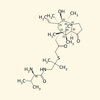 C=C[C@]1(C)C[C@@H](CC(=O)CSC(C)(C)CNC(=O)[C@H](N)C(C)C)[C@]2(C)[C@H](C)CC[C@]3(CCC(=O)[C@H]32)[C@@H](C)[C@@H]1O